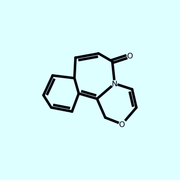 O=C1C=CC2C=CC=CC2=C2COC=CN12